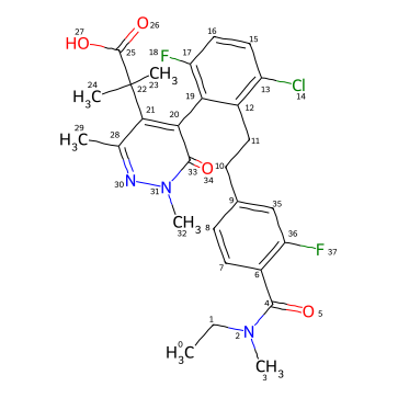 CCN(C)C(=O)c1ccc(CCc2c(Cl)ccc(F)c2-c2c(C(C)(C)C(=O)O)c(C)nn(C)c2=O)cc1F